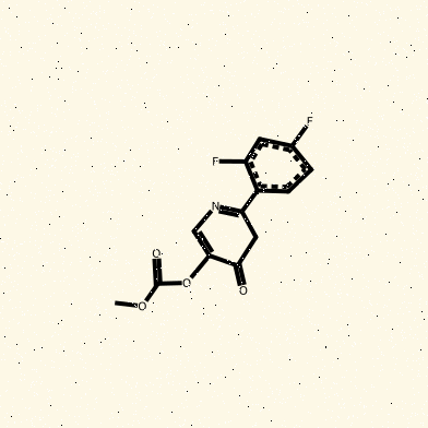 COC(=O)OC1=CN=C(c2ccc(F)cc2F)CC1=O